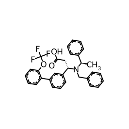 C[C@H](c1ccccc1)N(Cc1ccccc1)[C@@H](CC(=O)O)c1cccc(-c2ccccc2OC(F)(F)F)c1